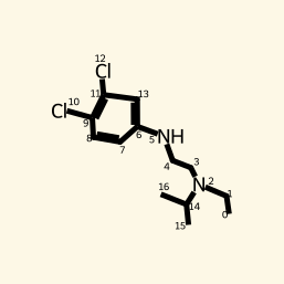 CCN(CCNc1ccc(Cl)c(Cl)c1)C(C)C